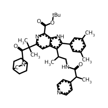 Cc1cc(C)cc(-c2[nH]c3c(C(=O)OC(C)(C)C)nc(C(C)(C)C(=O)N4CC5CCC4CC5)cc3c2C(C)CNC(=O)C(C)c2ccncc2)c1